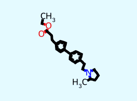 CCOC(=O)CCc1ccc(-c2ccc(CCN3CCCC3C)cc2)cc1